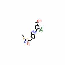 CCSC1=NC(=O)C(=Cc2ccc3c(cnn3Cc3ccc(C(C)(C)O)cc3C(F)(F)F)c2)S1